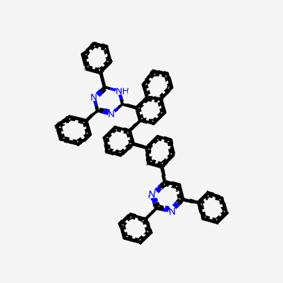 c1ccc(C2=NC(c3c(-c4ccccc4-c4cccc(-c5cc(-c6ccccc6)nc(-c6ccccc6)n5)c4)ccc4ccccc34)NC(c3ccccc3)=N2)cc1